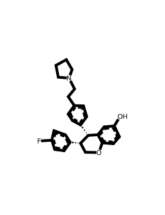 Oc1ccc2c(c1)[C@@H](c1ccc(CCN3CCCC3)cc1)[C@@H](c1ccc(F)cc1)CO2